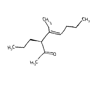 CCC/C=C(\C)[C@H](CCC)C(C)=O